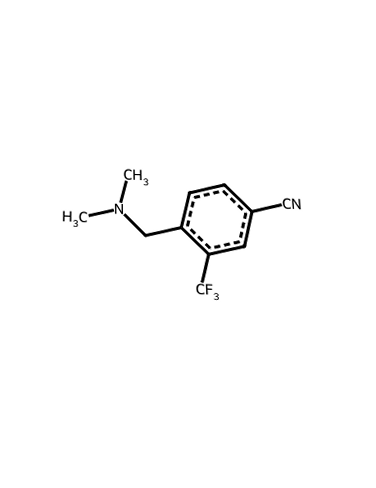 CN(C)Cc1ccc(C#N)cc1C(F)(F)F